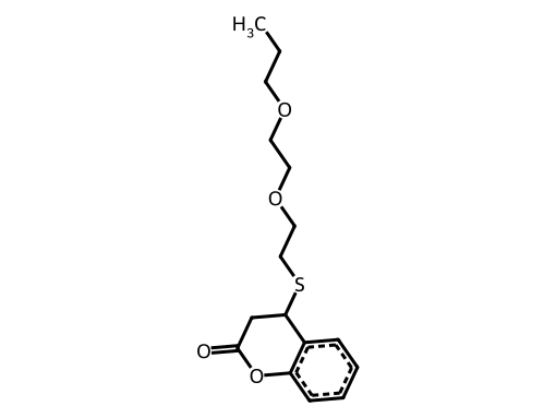 CCCOCCOCCSC1CC(=O)Oc2ccccc21